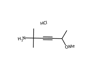 COC(C)C#CC(C)(C)N.Cl